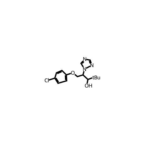 CC(C)(C)C(O)C(COc1ccc(Cl)cc1)n1cncn1